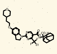 CCC(F)(F)c1nc(N2CCc3cc(OCCC4CCOCC4)ccc32)ncc1C(=O)NC1(C(=O)O)C2CC3CC(C2)CC1C3